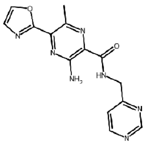 Cc1nc(C(=O)NCc2ccncn2)c(N)nc1-c1ncco1